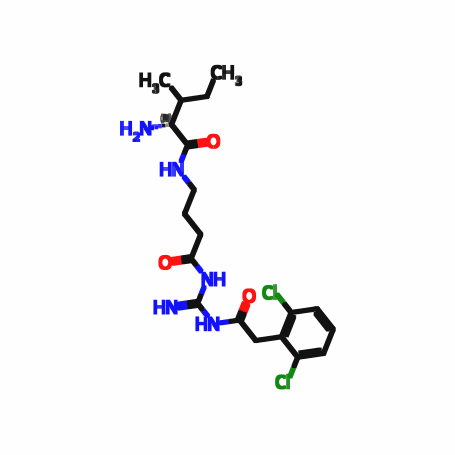 CCC(C)[C@@H](N)C(=O)NCCCC(=O)NC(=N)NC(=O)Cc1c(Cl)cccc1Cl